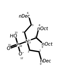 CCCCCCCCCCCC[N+](CCCCCCCCCCCC)(C(CCCCCCCC)CCCCCCCC)P(=O)([O-])O